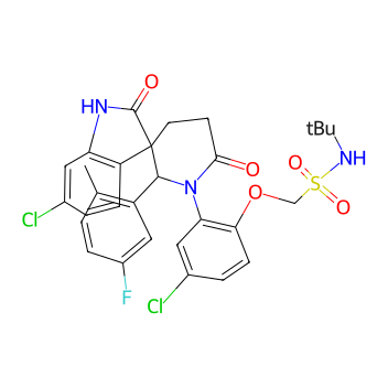 Cc1ccc(F)cc1C1N(c2cc(Cl)ccc2OCS(=O)(=O)NC(C)(C)C)C(=O)CCC12C(=O)Nc1cc(Cl)ccc12